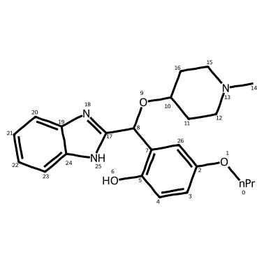 CCCOc1ccc(O)c(C(OC2CCN(C)CC2)c2nc3ccccc3[nH]2)c1